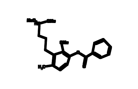 COc1c(OC(=O)c2ccccc2)ccc(C)c1CCC[SiH](OC)OC